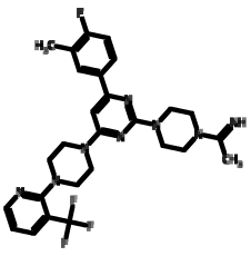 CC(=N)N1CCN(c2nc(-c3ccc(F)c(C)c3)cc(N3CCN(c4ncccc4C(F)(F)F)CC3)n2)CC1